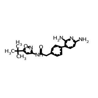 CC(C)(C)c1cc(NC(=O)Cc2ccc(-c3ccc(N)nc3N)cc2)no1